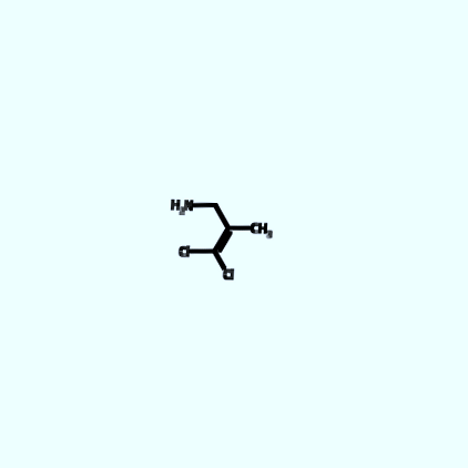 CC(CN)=C(Cl)Cl